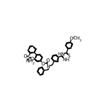 COc1ccc(C(=S)NC(=N)c2cccc(CN(Cc3ccccc3)C(=O)Oc3ccc(-c4ccccc4S(N)(=O)=O)cc3)c2)cc1